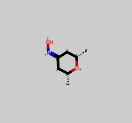 C[C@@H]1CC(=NO)C[C@H](C)O1